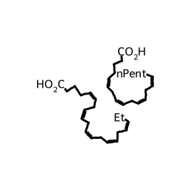 CC/C=C\C/C=C\C/C=C\C/C=C\C/C=C\CCCC(=O)O.CCCCC/C=C\C/C=C\C/C=C\C/C=C\CCCC(=O)O